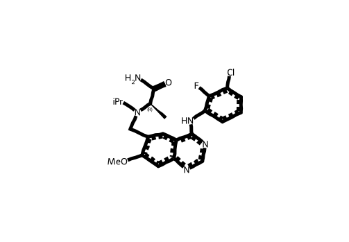 COc1cc2ncnc(Nc3cccc(Cl)c3F)c2cc1CN(C(C)C)[C@H](C)C(N)=O